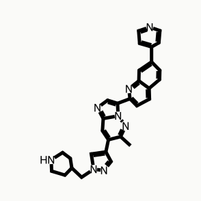 Cc1nn2c(-c3ccc4ccc(-c5ccncc5)cc4n3)cnc2cc1-c1cnn(CC2CCNCC2)c1